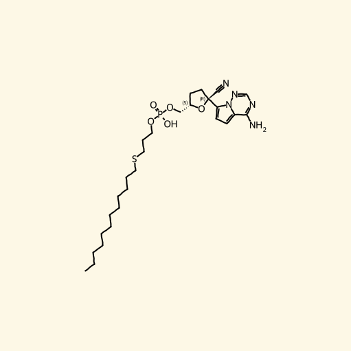 CCCCCCCCCCCCSCCCOP(=O)(O)OC[C@@H]1CC[C@](C#N)(c2ccc3c(N)ncnn23)O1